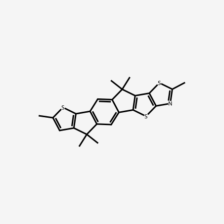 Cc1cc2c(s1)-c1cc3c(cc1C2(C)C)-c1sc2nc(C)sc2c1C3(C)C